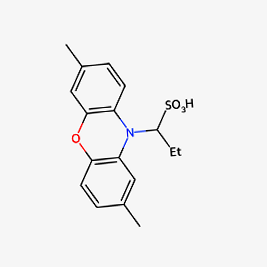 CCC(N1c2ccc(C)cc2Oc2ccc(C)cc21)S(=O)(=O)O